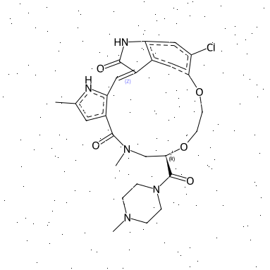 Cc1cc2c([nH]1)/C=C1\C(=O)Nc3cc(Cl)c(cc31)OCCO[C@@H](C(=O)N1CCN(C)CC1)CN(C)C2=O